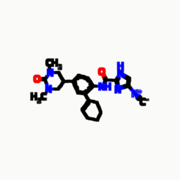 [C-]#[N+]c1c[nH]c(C(=O)Nc2ccc(C3CN(C)C(=O)N(C)C3)cc2C2=CCCCC2)n1